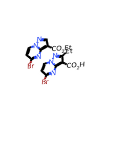 CCOC(=O)c1cnn2ccc(Br)nc12.CCc1nn2ccc(Br)nc2c1C(=O)O